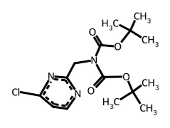 CC(C)(C)OC(=O)N(Cc1nccc(Cl)n1)C(=O)OC(C)(C)C